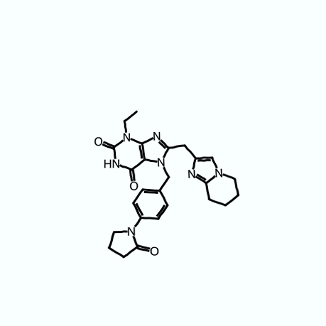 CCn1c(=O)[nH]c(=O)c2c1nc(Cc1cn3c(n1)CCCC3)n2Cc1ccc(N2CCCC2=O)cc1